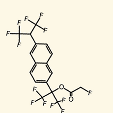 O=C(CF)OC(c1ccc2cc(C(C(F)(F)F)C(F)(F)F)ccc2c1)(C(F)(F)F)C(F)(F)F